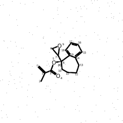 C=C(C)C(=O)O[C@]1(C2CO2)CCCCc2ccccc21